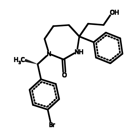 C[C@@H](c1ccc(Br)cc1)N1CCCC(CCO)(c2ccccc2)NC1=O